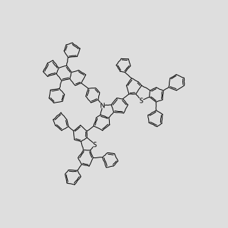 c1ccc(-c2cc(-c3ccccc3)c3sc4c(-c5ccc6c7ccc(-c8cc(-c9ccccc9)cc9c8sc8c(-c%10ccccc%10)cc(-c%10ccccc%10)cc89)cc7n(-c7ccc(-c8ccc9c(-c%10ccccc%10)c%10ccccc%10c(-c%10ccccc%10)c9c8)cc7)c6c5)cc(-c5ccccc5)cc4c3c2)cc1